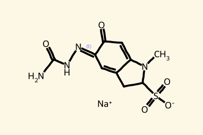 CN1C2=CC(=O)/C(=N/NC(N)=O)C=C2CC1S(=O)(=O)[O-].[Na+]